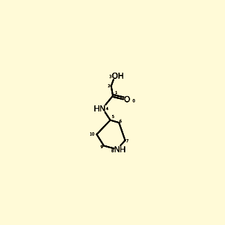 O=C(CO)NC1CCNCC1